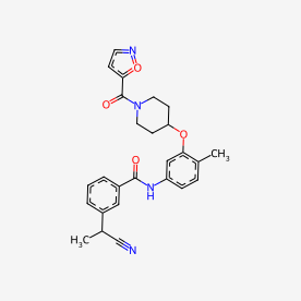 Cc1ccc(NC(=O)c2cccc(C(C)C#N)c2)cc1OC1CCN(C(=O)c2ccno2)CC1